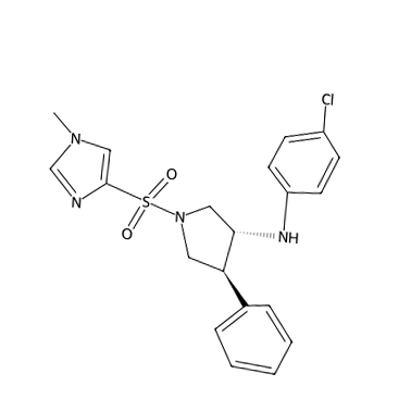 Cn1cnc(S(=O)(=O)N2C[C@H](Nc3ccc(Cl)cc3)[C@@H](c3ccccc3)C2)c1